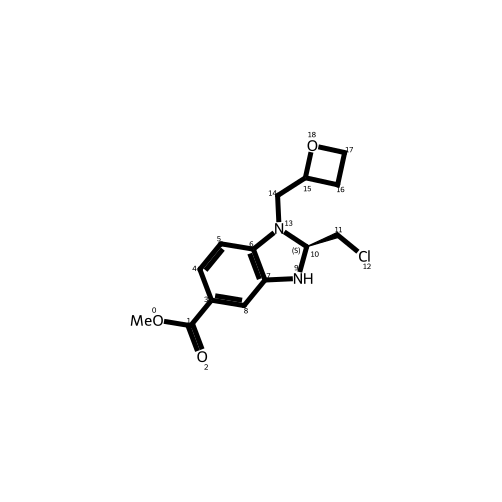 COC(=O)c1ccc2c(c1)N[C@H](CCl)N2CC1CCO1